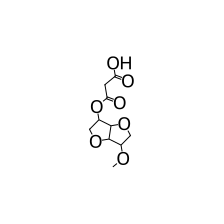 COC1COC2C(OC(=O)CC(=O)O)COC12